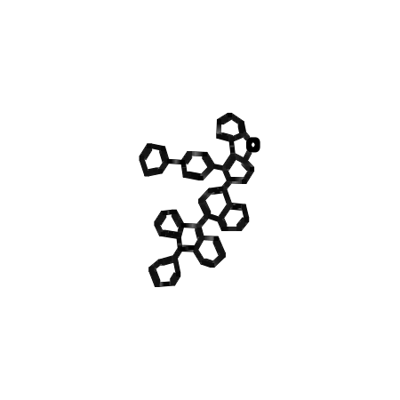 c1ccc(-c2ccc(-c3c(-c4ccc(-c5c6ccccc6c(-c6ccccc6)c6ccccc56)c5ccccc45)ccc4oc5ccccc5c34)cc2)cc1